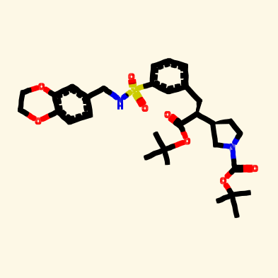 CC(C)(C)OC(=O)[C@@H](Cc1cccc(S(=O)(=O)NCc2ccc3c(c2)OCCO3)c1)[C@H]1CCN(C(=O)OC(C)(C)C)C1